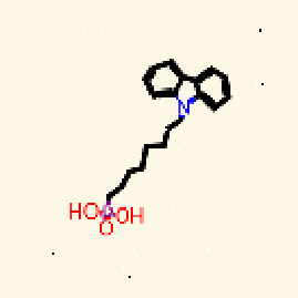 O=P(O)(O)CCCCCCCCn1c2ccccc2c2ccccc21